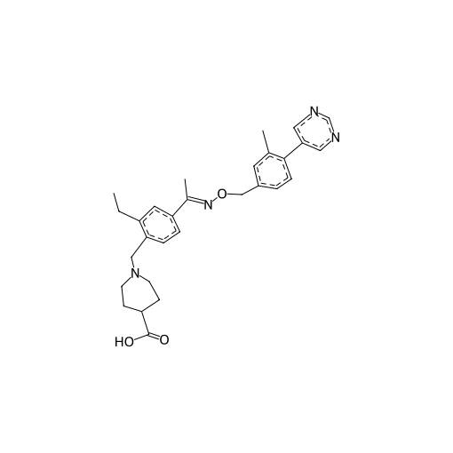 CCc1cc(/C(C)=N/OCc2ccc(-c3cncnc3)c(C)c2)ccc1CN1CCC(C(=O)O)CC1